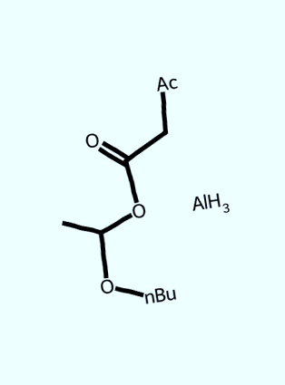 CCCCOC(C)OC(=O)CC(C)=O.[AlH3]